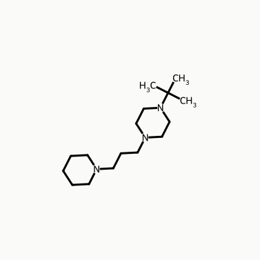 CC(C)(C)N1CCN(CCCN2CCCCC2)CC1